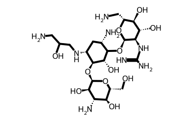 N=C(N)N[C@H]1[C@@H](OC2[C@@H](N)C[C@@H](NCC(O)CN)[C@H](O[C@H]3O[C@H](CO)[C@@H](O)[C@H](N)[C@H]3O)[C@H]2O)O[C@H](CN)[C@@H](O)[C@@H]1O